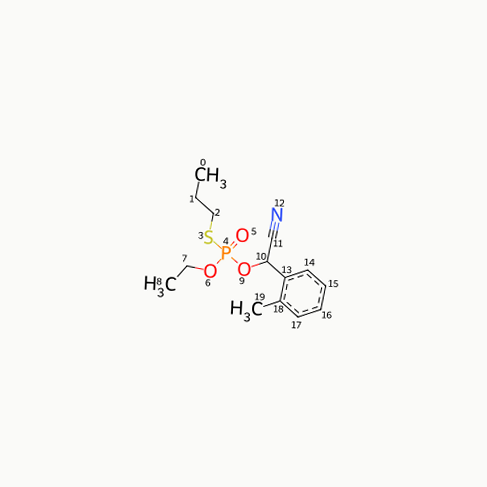 CCCSP(=O)(OCC)OC(C#N)c1ccccc1C